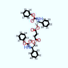 O=C(/C=C/C(=O)OC[C@H](NC(=O)Oc1ccccc1)c1ccccc1)OC[C@H](NC(=O)Oc1ccccc1)c1ccccc1